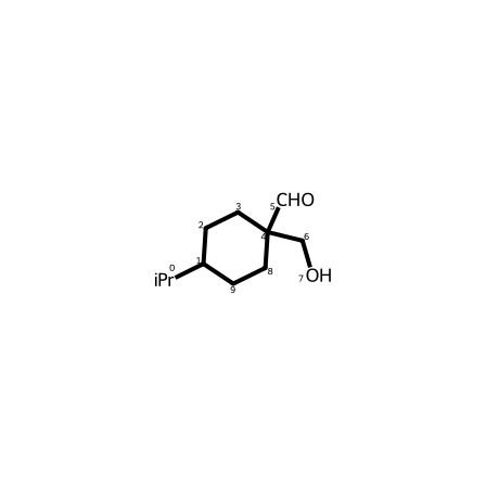 CC(C)C1CCC(C=O)(CO)CC1